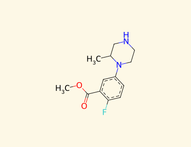 COC(=O)c1cc(N2CCNCC2C)ccc1F